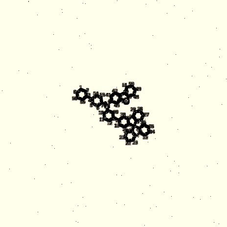 c1ccc(-c2ccc(N(c3cccc(-c4ccc(C(c5ccccc5)(c5ccccc5)c5ccccc5)cc4)c3)c3ccc4c(c3)oc3ccccc34)cc2)cc1